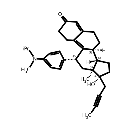 CC#CC[C@]1(O)CC[C@H]2[C@@H]3CCC4=CC(=O)CCC4=C3[C@@H](c3ccc(N(C)C(C)C)cc3)C[C@@]21C